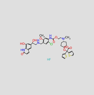 COc1cc(NC(=O)OCCN(C)[C@H]2CC[C@H](OC(C(=O)O)(c3cccs3)c3cccs3)CC2)c(Cl)cc1CNC[C@H](O)c1cc(O)c2[nH]c(=O)ccc2c1.F